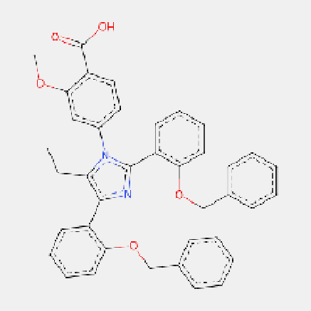 CCc1c(-c2ccccc2OCc2ccccc2)nc(-c2ccccc2OCc2ccccc2)n1-c1ccc(C(=O)O)c(OC)c1